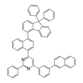 c1ccc(-c2nc(-c3cccc(-c4ccc5ccccc5c4)c3)cc(-c3ccc(-c4cccc5c4-c4ccccc4C5(c4ccccc4)c4ccccc4)c4ccccc34)n2)cc1